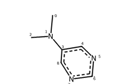 CN(C)c1cn[c]nc1